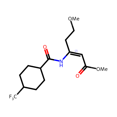 COCC/C(=C/C(=O)OC)NC(=O)C1CCC(C(F)(F)F)CC1